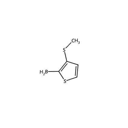 Bc1sccc1SC